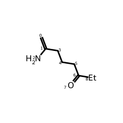 C=C(N)CCCC(=O)CC